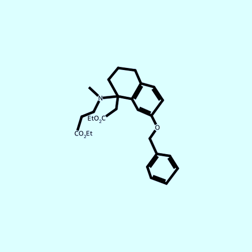 CCOC(=O)CCN(C)C1(CC(=O)OCC)CCCc2ccc(OCc3ccccc3)cc21